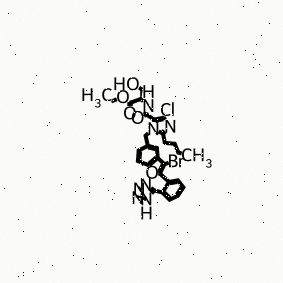 CCCCc1nc(Cl)c(C(=O)N[C@H](CO)C(=O)OCC)n1Cc1ccc2oc(-c3ccccc3-c3nnn[nH]3)c(Br)c2c1